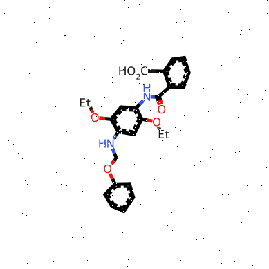 CCOc1cc(NC(=O)c2ccccc2C(=O)O)c(OCC)cc1NCOc1ccccc1